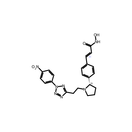 O=C(/C=C/c1ccc([C@@H]2CCCN2CCc2nnn(-c3ccc([N+](=O)[O-])cc3)n2)cc1)NO